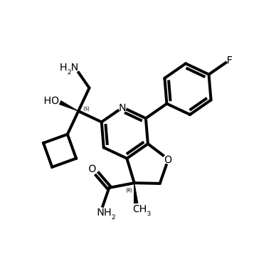 C[C@]1(C(N)=O)COc2c1cc([C@@](O)(CN)C1CCC1)nc2-c1ccc(F)cc1